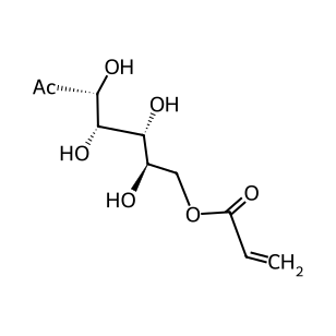 C=CC(=O)OC[C@@H](O)[C@@H](O)[C@H](O)[C@@H](O)C(C)=O